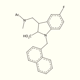 CC(=O)N(C)CC1c2cc(F)ccc2N(Cc2cccc3ccccc23)C1C(=O)O